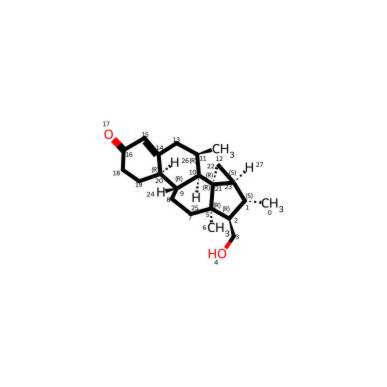 C[C@@H]1[C@@H](CO)[C@@]2(C)CC[C@H]3[C@@H]([C@H](C)CC4=CC(=O)CC[C@@H]43)[C@]23C[C@@H]13